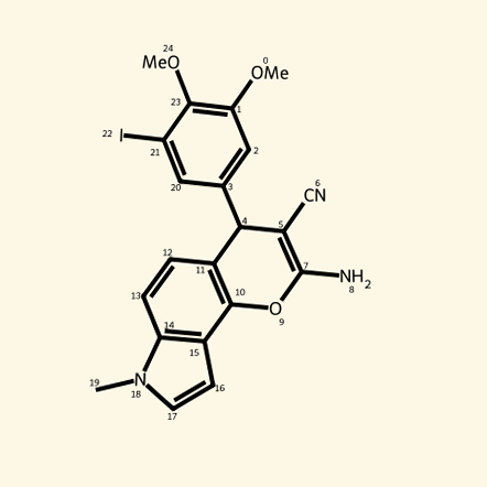 COc1cc(C2C(C#N)=C(N)Oc3c2ccc2c3ccn2C)cc(I)c1OC